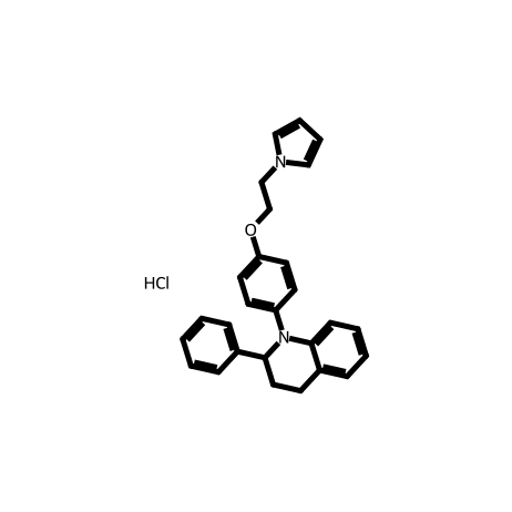 Cl.c1ccc(C2CCc3ccccc3N2c2ccc(OCCn3cccc3)cc2)cc1